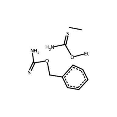 CC.CCOC(N)=S.NC(=S)OCc1ccccc1